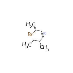 C=C(Br)/C=C\C(C)CC